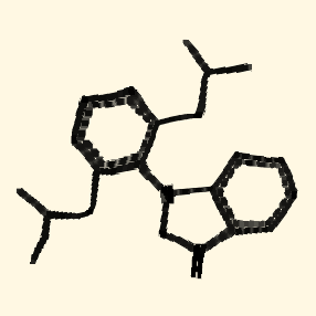 CC(C)Cc1cccc(CC(C)C)c1N1CNc2ccccc21